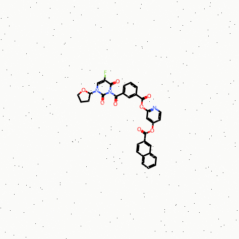 O=C(Oc1ccnc(OC(=O)c2cccc(C(=O)n3c(=O)c(F)cn(C4CCCO4)c3=O)c2)c1)c1ccc2ccccc2c1